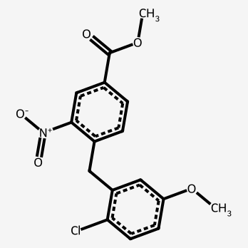 COC(=O)c1ccc(Cc2cc(OC)ccc2Cl)c([N+](=O)[O-])c1